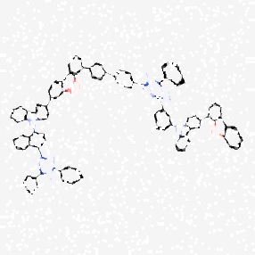 c1ccc(-c2nc(-c3ccc(-c4ccc(-c5cccc6c5oc5cc(-c7ccc8c(c7)c7ccccc7n8-c7ccc(-c8nc(-c9ccccc9)nc(-c9ccccc9)n8)c8ccccc78)ccc56)cc4)cc3)nc(-c3cccc(-n4c5ccccc5c5cc(-c6cccc7c6oc6ccccc67)ccc54)c3)n2)cc1